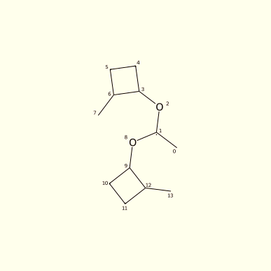 C[C](OC1CCC1C)OC1CCC1C